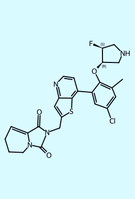 Cc1cc(Cl)cc(-c2ccnc3cc(CN4C(=O)C5=CCCCN5C4=O)sc23)c1O[C@@H]1CNC[C@@H]1F